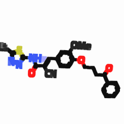 CCc1nnc(NC(=O)/C(C#N)=C/c2ccc(OCCCC(=O)c3ccccc3)c(OC)c2)s1